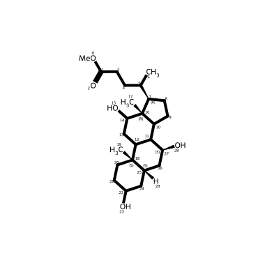 COC(=O)CCC(C)[C@H]1CCC2C3C(CC(O)[C@@]21C)[C@@]1(C)CCC(O)C[C@H]1C[C@@H]3O